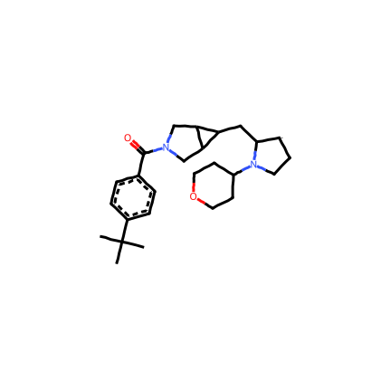 CC(C)(C)c1ccc(C(=O)N2CC3C(CC4[CH]CCN4C4CCOCC4)C3C2)cc1